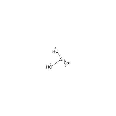 OSO.[Co]